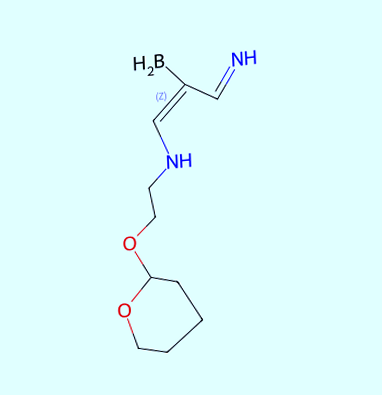 B/C(C=N)=C/NCCOC1CCCCO1